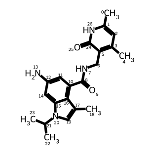 Cc1cc(C)c(CNC(=O)c2cc(N)cc3c2c(C)cn3C(C)C)c(=O)[nH]1